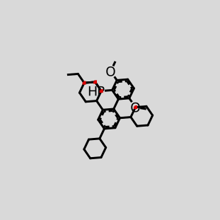 CCCCPc1c(OC)ccc(OC)c1-c1c(C2CCCCC2)cc(C2CCCCC2)cc1C1CCCCC1